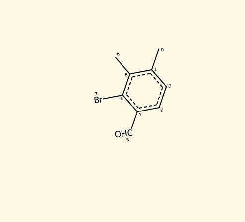 Cc1ccc(C=O)c(Br)c1C